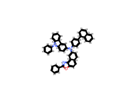 c1ccc(-c2nc3c(ccc4ccc(N(c5ccc(-c6cccc7ccccc67)cc5)c5ccc6c(c5)c5ccccc5n6-c5ccccc5)cc43)o2)cc1